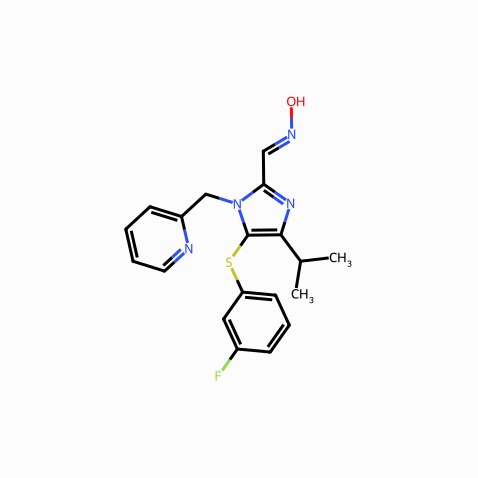 CC(C)c1nc(/C=N/O)n(Cc2ccccn2)c1Sc1cccc(F)c1